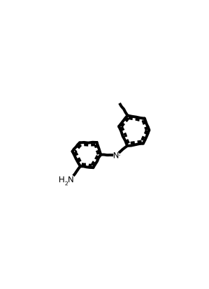 Cc1cccc([N]c2cccc(N)c2)c1